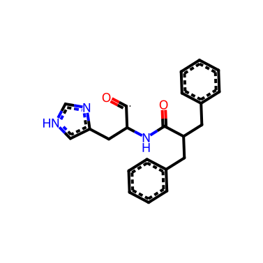 O=[C]C(Cc1c[nH]cn1)NC(=O)C(Cc1ccccc1)Cc1ccccc1